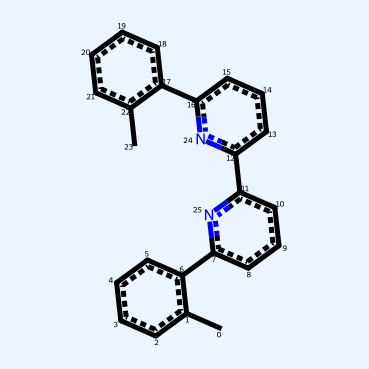 Cc1ccccc1-c1cccc(-c2cccc(-c3ccccc3C)n2)n1